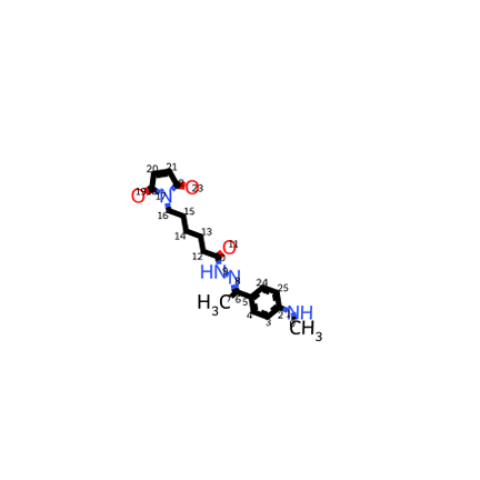 CNc1ccc(/C(C)=N/NC(=O)CCCCCN2C(=O)C=CC2=O)cc1